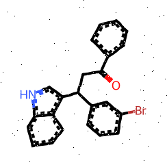 O=C(CC(c1cccc(Br)c1)c1c[nH]c2ccccc12)c1ccccc1